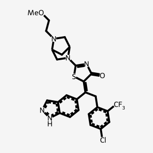 COCCN1CC2CC1CN2C1=NC(=O)C(=C(Cc2ccc(Cl)cc2C(F)(F)F)c2ccc3[nH]ncc3c2)S1